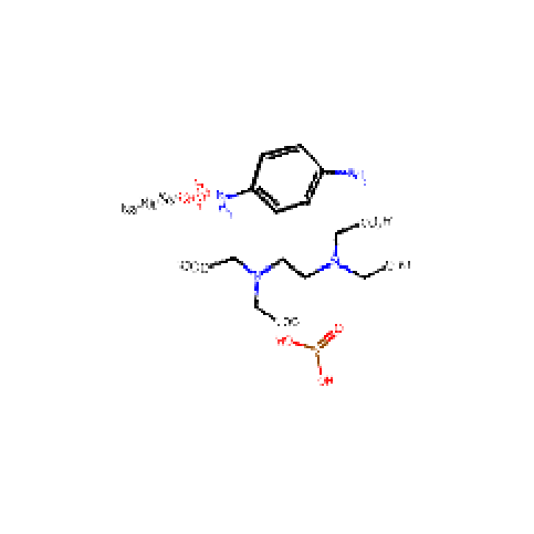 Nc1ccc(N)cc1.O.O.O=C([O-])CN(CCN(CC(=O)[O-])CC(=O)O)CC(=O)[O-].O=S(O)O.[Na+].[Na+].[Na+]